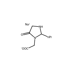 CCCC1NCC(=O)N1CC(=O)[O-].[Na+]